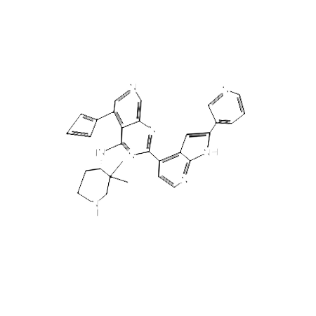 CC1(C)CNCC[C@@H]1Nc1nc(-c2ccnc3[nH]c(-c4cccnc4)cc23)nc2cncc(C3=CC=C3)c12